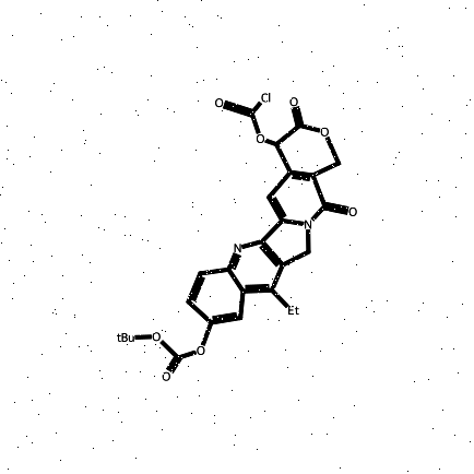 CCc1c2c(nc3ccc(OC(=O)OC(C)(C)C)cc13)-c1cc3c(c(=O)n1C2)COC(=O)C3OC(=O)Cl